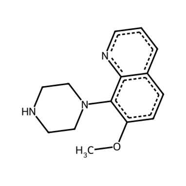 COc1ccc2cccnc2c1N1CCNCC1